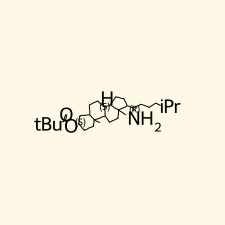 CC(C)CCC[C@@H](N)C1CCC2[C@H]3CCC4C[C@@H](OC(=O)C(C)(C)C)CCC4(C)C3CCC21C